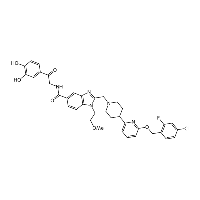 COCCn1c(CN2CCC(c3cccc(OCc4ccc(Cl)cc4F)n3)CC2)nc2cc(C(=O)NCC(=O)c3ccc(O)c(O)c3)ccc21